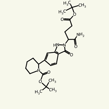 CC(C)(C)OC(=O)CCC(C(N)=O)n1[nH]c2cc(C3CCCCN3C(=O)OC(C)(C)C)ccc2c1=O